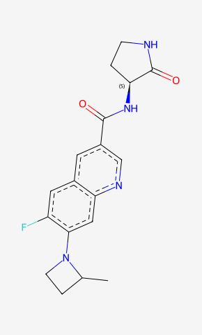 CC1CCN1c1cc2ncc(C(=O)N[C@H]3CCNC3=O)cc2cc1F